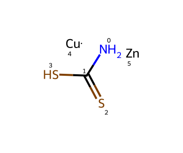 NC(=S)S.[Cu].[Zn]